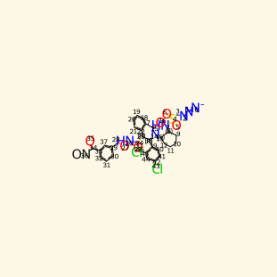 [N-]=[N+]=NCS(=O)(=O)N[C@H]1CCCC[C@@H]1N1C(=O)c2ccccc2[C@@H](C(=O)NOCc2cccc(C(=O)N=O)c2)[C@@H]1c1ccc(Cl)cc1Cl